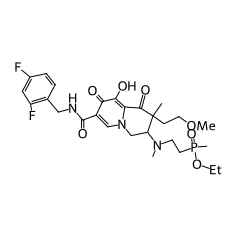 CCOP(C)(=O)CCN(C)C1Cn2cc(C(=O)NCc3ccc(F)cc3F)c(=O)c(O)c2C(=O)C1(C)CCOC